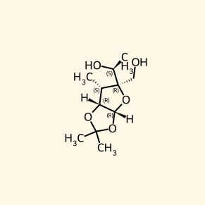 C[C@H](O)[C@@]1(CO)O[C@@H]2OC(C)(C)O[C@@H]2[C@@H]1C